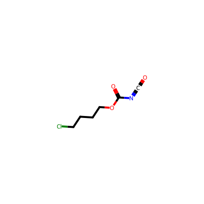 O=C=NC(=O)OCCCCCl